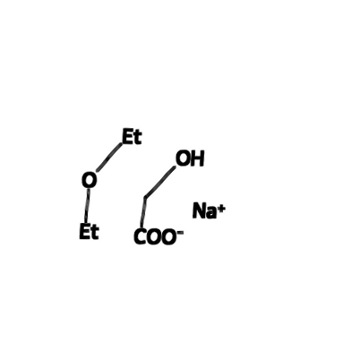 CCOCC.O=C([O-])CO.[Na+]